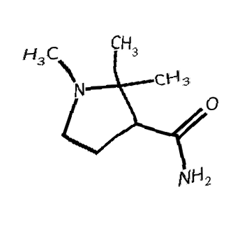 CN1CCC(C(N)=O)C1(C)C